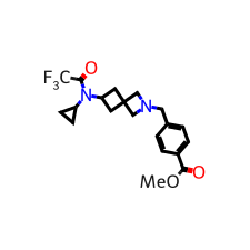 COC(=O)c1ccc(CN2CC3(CC(N(C(=O)C(F)(F)F)C4CC4)C3)C2)cc1